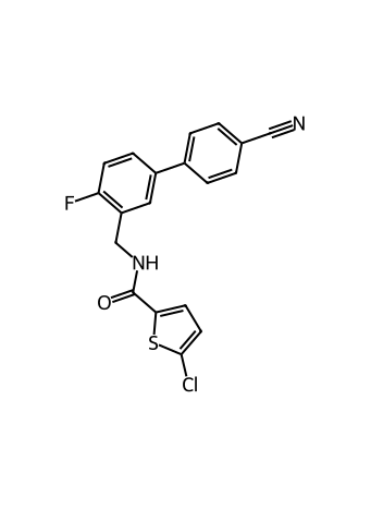 N#Cc1ccc(-c2ccc(F)c(CNC(=O)c3ccc(Cl)s3)c2)cc1